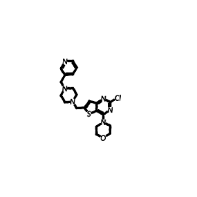 Clc1nc(N2CCOCC2)c2sc(CN3CCN(Cc4cccnc4)CC3)cc2n1